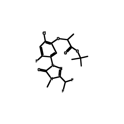 CC(Oc1cc(-n2nc(C(F)F)n(C)c2=O)c(F)cc1Cl)C(=O)OC(C)(C)C